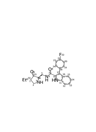 CC[C@H]1CN[C@H](CNC(=O)c2[nH]c3ccccc3c2-c2ccc(F)cc2)C1=O